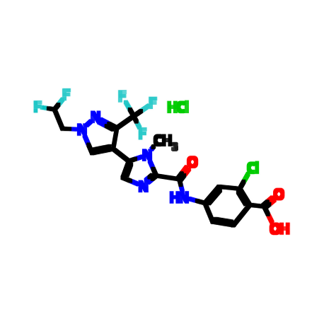 Cl.Cn1c(-c2cn(CC(F)F)nc2C(F)(F)F)cnc1C(=O)Nc1ccc(C(=O)O)c(Cl)c1